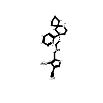 C#Cc1csc(CNCC[C@@]2(c3ccccn3)CCOC3(CCCC3)C2)c1OC